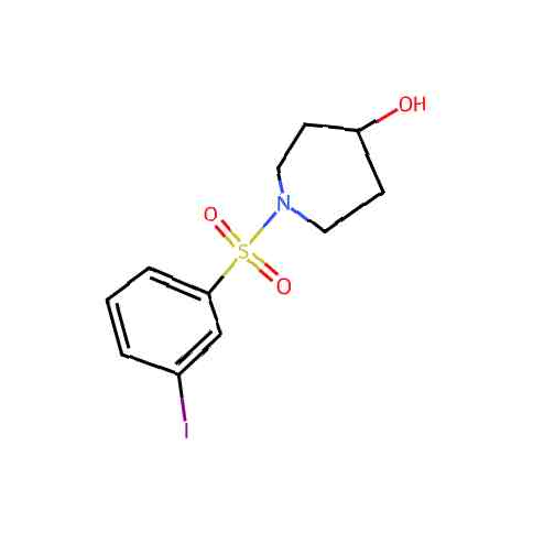 O=S(=O)(c1cccc(I)c1)N1CCC(O)CC1